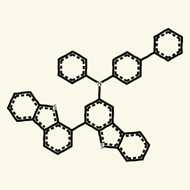 c1ccc(-c2ccc(N(c3ccccc3)c3cc(-c4cccc5c4sc4ccccc45)c4sc5ccccc5c4c3)cc2)cc1